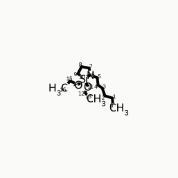 CCCCCCN1CCC[Si]1(OCC)OCC